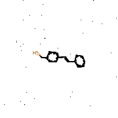 SCc1ccc(/C=C/c2ccccc2)cc1